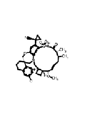 CO[C@H]1/C=C/C[C@H](C)[C@@H](C)C(=O)NS(=O)(=O)c2cc3c(cc2C2(C#N)CC2)OC[C@]2(CCCc4cc(Cl)ccc42)CN3C[C@@H]2CC[C@H]21